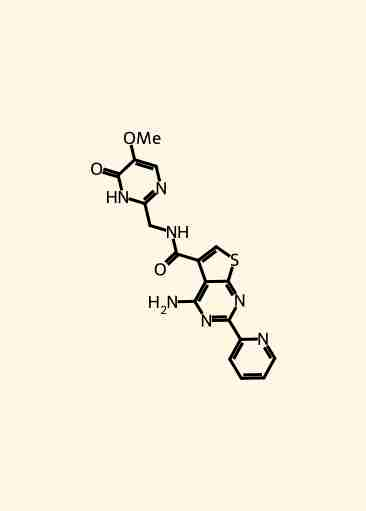 COc1cnc(CNC(=O)c2csc3nc(-c4ccccn4)nc(N)c23)[nH]c1=O